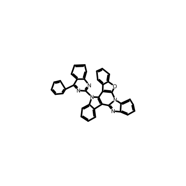 c1ccc(-c2nc(-n3c4ccccc4c4c3c3c5ccccc5oc3n3c5ccccc5nc43)nc3ccccc23)cc1